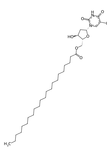 CCCCCCCCCCCCCCCCCCCCCC(=O)OC[C@H]1O[C@@H](n2cc(I)c(=O)[nH]c2=O)C[C@@H]1O